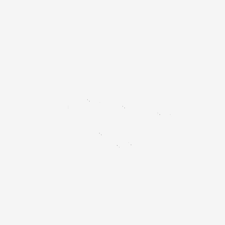 CCn1ncc2c(NC3CCN(C(C)=O)CC3)c(C(=O)NCc3c(F)cccc3F)cnc21